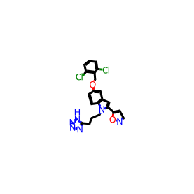 Clc1cccc(Cl)c1COc1ccc2c(c1)cc(-c1ccno1)n2CCCc1nnn[nH]1